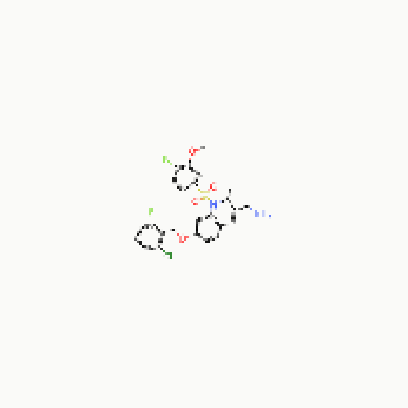 COc1cc(S(=O)(=O)N2c3cc(OCc4c(F)cccc4Cl)ccc3C=C(CN)C2C)ccc1F